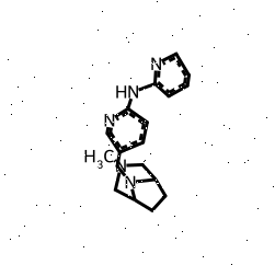 CN1CC2CCC(C1)N2Cc1ccc(Nc2ccccn2)nc1